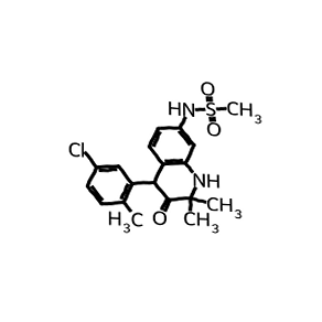 Cc1ccc(Cl)cc1C1C(=O)C(C)(C)Nc2cc(NS(C)(=O)=O)ccc21